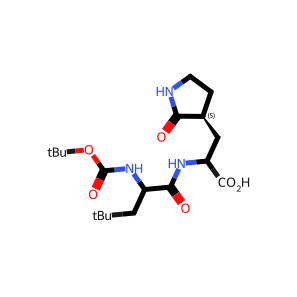 CC(C)(C)CC(NC(=O)OC(C)(C)C)C(=O)NC(C[C@@H]1CCNC1=O)C(=O)O